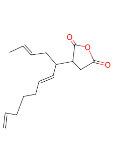 C=CCCCC=CC(CC=CC)C1CC(=O)OC1=O